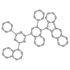 c1ccc(-c2nc(-c3cccc4ccccc34)nc(-c3cc(-c4ccccc4)c(-n4c5ccccc5c5cc6ccccc6cc54)c4ccccc34)n2)cc1